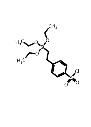 CCO[Si](CCc1ccc(S(=O)(=O)Cl)cc1)(OCC)OCC